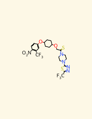 O=[N+]([O-])c1ccc(OC2CCC(OCC(=S)N3CCN(c4nnc(C(F)(F)F)s4)CC3)CC2)cc1C(F)(F)F